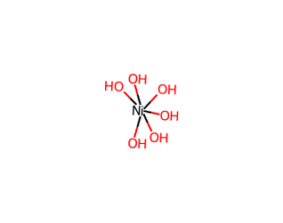 [OH][Ni]([OH])([OH])([OH])([OH])[OH]